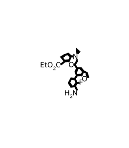 CCOC(=O)Cc1cccc2c1OC(c1cc(-c3cccc(CN)c3F)c3occc3c1)CN2C1CC1